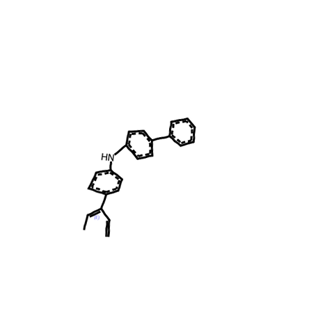 C=C/C(=C\C)c1ccc(Nc2ccc(-c3ccccc3)cc2)cc1